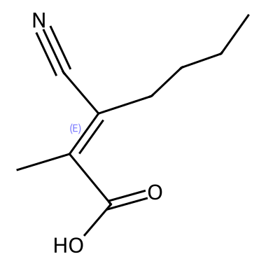 CCCC/C(C#N)=C(/C)C(=O)O